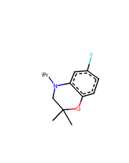 CC(C)N1CC(C)(C)Oc2ccc(F)cc21